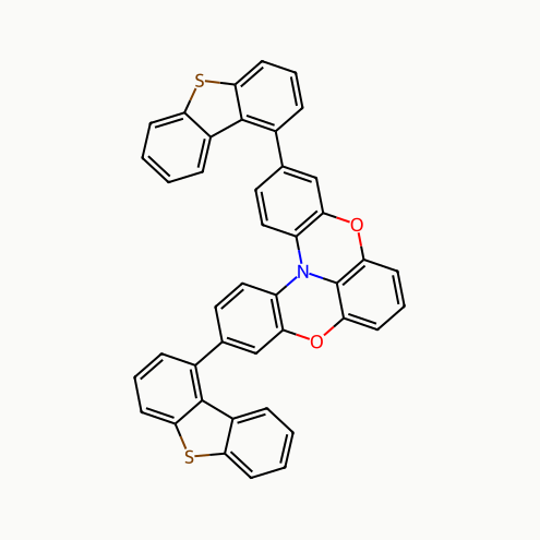 c1cc2c3c(c1)Oc1cc(-c4cccc5sc6ccccc6c45)ccc1N3c1ccc(-c3cccc4sc5ccccc5c34)cc1O2